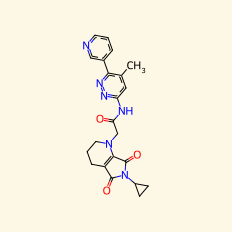 Cc1cc(NC(=O)CN2CCCC3=C2C(=O)N(C2CC2)C3=O)nnc1-c1cccnc1